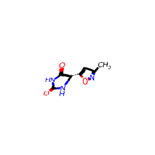 Cc1cc([C@@H]2NC(=O)NC2=O)on1